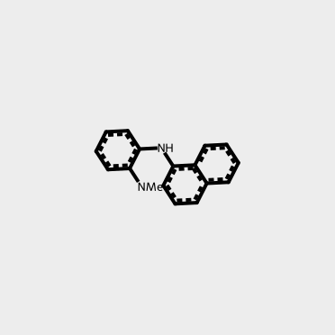 CNc1ccccc1Nc1cccc2ccccc12